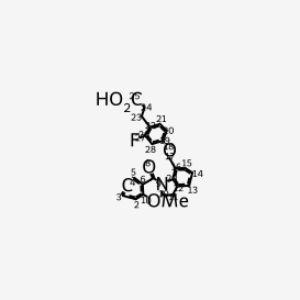 COc1ccccc1C(=O)N1CCc2cccc(COc3ccc(CCC(=O)O)c(F)c3)c21